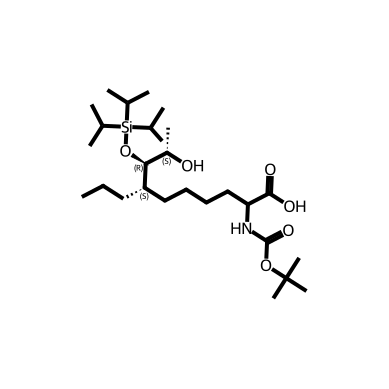 CCC[C@@H](CCCCC(NC(=O)OC(C)(C)C)C(=O)O)[C@@H](O[Si](C(C)C)(C(C)C)C(C)C)[C@H](C)O